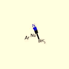 [Ar].[BH3-]C#N.[Na+]